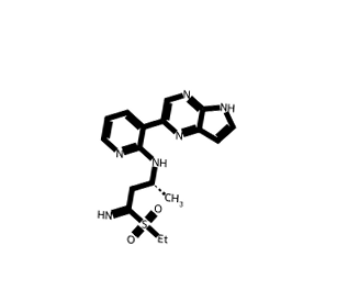 CCS(=O)(=O)C(=N)C[C@@H](C)Nc1ncccc1-c1cnc2[nH]ccc2n1